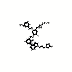 CC(=O)NCCNCc1cc(Cl)c(OCc2cccc(-c3cccc4c3ccn4CCCN3CCC(F)C3)c2C)cc1OCc1cccc(C#N)c1